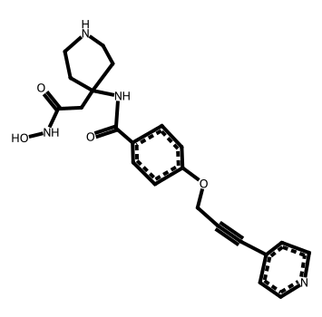 O=C(CC1(NC(=O)c2ccc(OCC#Cc3ccncc3)cc2)CCNCC1)NO